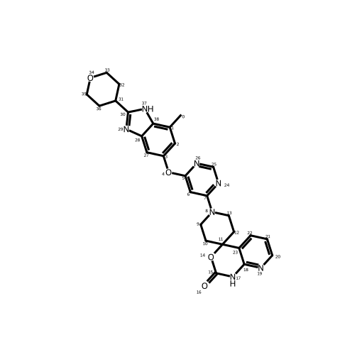 Cc1cc(Oc2cc(N3CCC4(CC3)OC(=O)Nc3ncccc34)ncn2)cc2nc(C3CCOCC3)[nH]c12